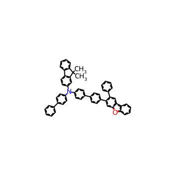 CC1(C)c2ccccc2-c2ccc(N(c3ccc(-c4ccccc4)cc3)c3ccc(-c4ccc(-c5cc6oc7ccccc7c6cc5-c5ccccc5)cc4)cc3)cc21